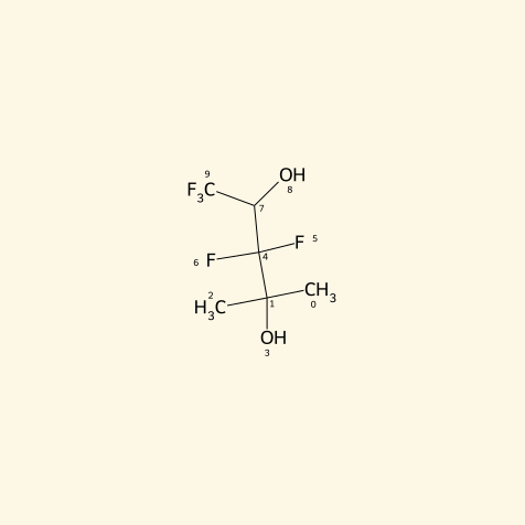 CC(C)(O)C(F)(F)C(O)C(F)(F)F